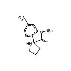 CC(C)(C)OC(=O)C1(c2ccc([N+](=O)[O-])cc2)CCCN1